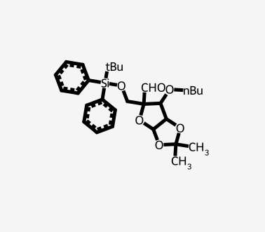 CCCCOC1C2OC(C)(C)OC2OC1(C=O)CO[Si](c1ccccc1)(c1ccccc1)C(C)(C)C